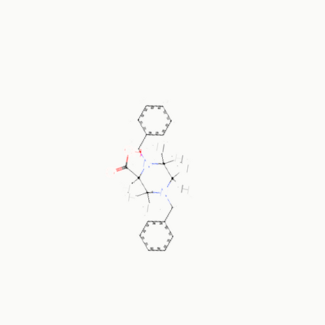 [2H]C1([2H])N(Cc2ccccc2)C([2H])([2H])C([2H])(C(=O)O)N(Cc2ccccc2)C1([2H])[2H]